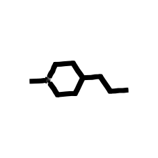 CCCC1CCN(C)CC1